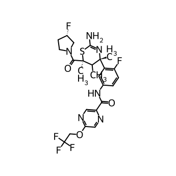 CC1[C@@](C)(C(=O)N2CC[C@H](F)C2)SC(N)=N[C@]1(C)c1cc(NC(=O)c2cnc(OCC(F)(F)F)cn2)ccc1F